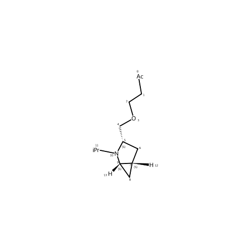 CC(=O)CCOC[C@@H]1C[C@@H]2C[C@@H]2N1C(C)C